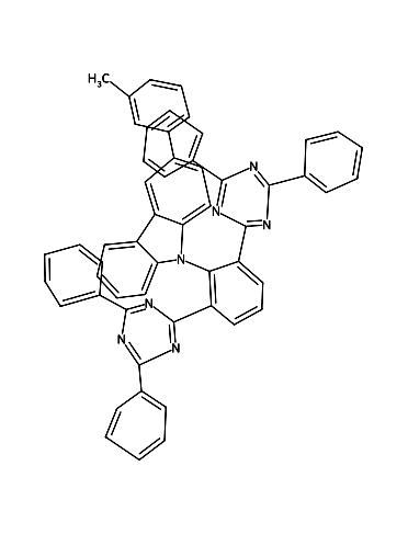 Cc1cccc(-c2ccc3c(c2)c2ccccc2n3-c2c(-c3nc(-c4ccccc4)nc(-c4ccccc4)n3)cccc2-c2nc(-c3ccccc3)nc(-c3ccccc3)n2)c1